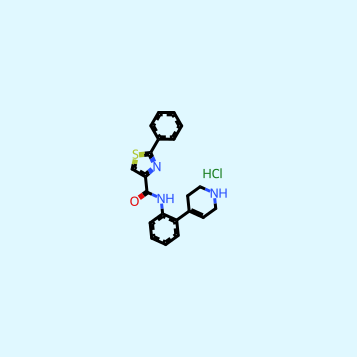 Cl.O=C(Nc1ccccc1C1=CCNCC1)c1csc(-c2ccccc2)n1